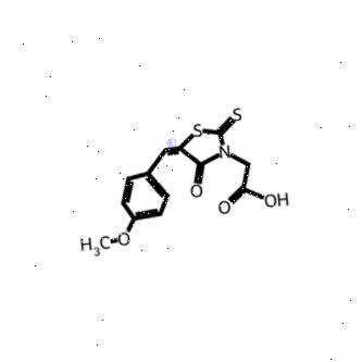 COc1ccc(/C=C2/SC(=S)N(CC(=O)O)C2=O)cc1